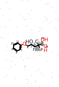 CCCCC(CCCOc1ccccc1)(B(O)O)C(=O)O